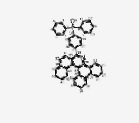 O=P(c1ccccc1)(c1ccccc1)c1ccc(-c2nc3c4ccccc4c4ccccc4c3c3c2ccc2ccccc23)cc1